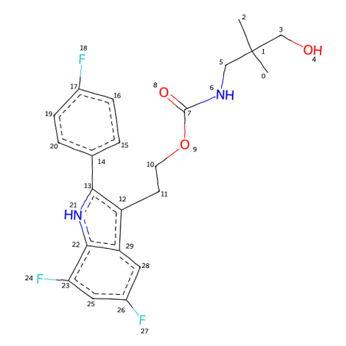 CC(C)(CO)CNC(=O)OCCc1c(-c2ccc(F)cc2)[nH]c2c(F)cc(F)cc12